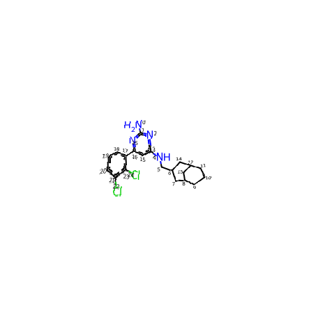 Nc1nc(NCC2CC3CCCC(C3)C2)cc(-c2cccc(Cl)c2Cl)n1